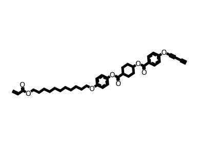 C#CC#COc1ccc(C(=O)OC2CCC(C(=O)Oc3ccc(OCCCCCCCCCCCOC(=O)C=C)cc3)CC2)cc1